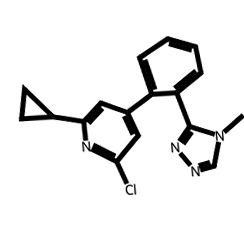 Cn1cnnc1-c1ccccc1-c1cc(Cl)nc(C2CC2)c1